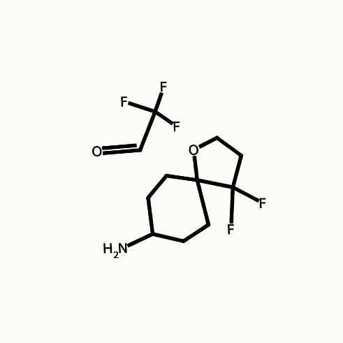 NC1CCC2(CC1)OCCC2(F)F.O=CC(F)(F)F